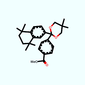 COC(=O)c1ccc(C2(c3ccc4c(c3)C(C)(C)CCC4(C)C)OCC(C)(C)CO2)cc1